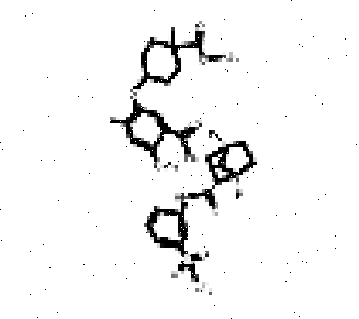 COc1cc(F)c(OC2CCC(C)(C(=O)OC(C)(C)C)CC2)cc1C(=O)N[C@@H]1[C@H]2CC[C@H](C2)[C@@H]1C(=O)Nc1cccc(S(=O)(=O)C(F)(F)F)c1